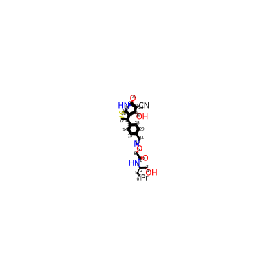 CC(C)C[C@H](CO)NC(=O)CON=Cc1ccc(-c2csc3[nH]c(=O)c(C#N)c(O)c23)cc1